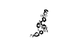 CCN1CCN(c2ccc(Nc3nccc(-c4c(-c5cccc(NC(=O)Cc6cccs6)c5)nc5ccccn45)n3)cc2F)CC1